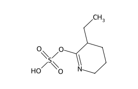 CCC1CCCN=C1OS(=O)(=O)O